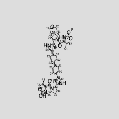 COC(=O)N[C@H](C(=O)N1CC2(CCOCC2)CC1c1nc(-c2ccc(-c3ccc(-c4c[nH]c([C@@H]5CCCN5C(=O)[C@H](C(C)C)N(C)C(=O)O)n4)cc3)cc2)c[nH]1)C(C)C